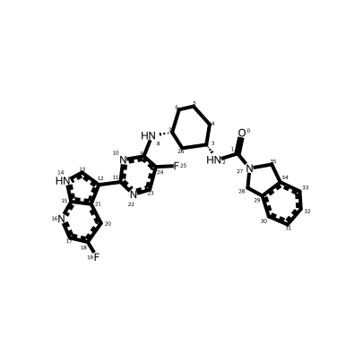 O=C(N[C@H]1CCC[C@@H](Nc2nc(-c3c[nH]c4ncc(F)cc34)ncc2F)C1)N1Cc2ccccc2C1